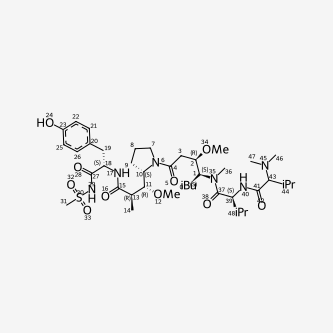 CC[C@H](C)[C@@H]([C@@H](CC(=O)N1CCC[C@H]1[C@H](OC)[C@@H](C)C(=O)N[C@@H](Cc1ccc(O)cc1)C(=O)NS(C)(=O)=O)OC)N(C)C(=O)[C@@H](NC(=O)C(C(C)C)N(C)C)C(C)C